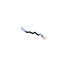 [C-]#[N+]CCCCCN=C=O